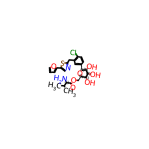 CC(C)[C@H](N)C(=O)OC[C@H]1O[C@@H](c2ccc(Cl)c(Cc3ncc(-c4ccco4)s3)c2)[C@H](O)[C@@H](O)[C@@H]1O